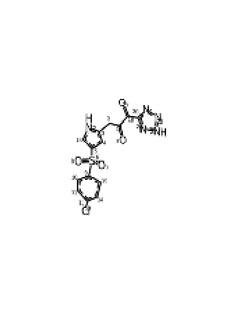 O=C(Cc1cc(S(=O)(=O)c2ccc(Cl)cc2)c[nH]1)C(=O)c1nn[nH]n1